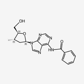 C[C@H]1C[C@H](n2cnc3c(NC(=O)c4ccccc4)ncnc32)O[C@@H]1CO